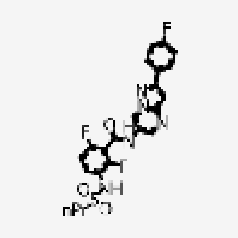 CCCS(=O)(=O)Nc1ccc(F)c(C(=O)Nc2cnc3cc(-c4ccc(F)cc4)nn3c2)c1F